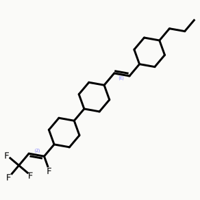 CCCC1CCC(/C=C/C2CCC(C3CCC(/C(F)=C/C(F)(F)F)CC3)CC2)CC1